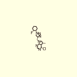 Cc1cn(Cc2cn(-c3ccccc3F)nn2)c2ncnc(Cl)c12